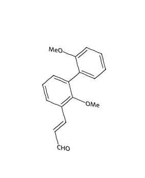 COc1ccccc1-c1cccc(C=CC=O)c1OC